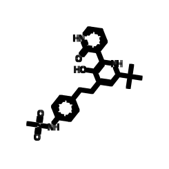 CC(C)(C)C1C=C(CCc2ccc(NS(C)(=O)=O)cc2)C(O)=C(c2ccc[nH]c2=O)N1